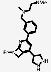 CNCCN(C)Cc1cccc(-c2cc(C3CNNC3)c3c(n2)N(C(C)C)C3)c1